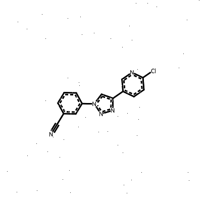 N#Cc1cccc(-n2cc(-c3ccc(Cl)nc3)nn2)c1